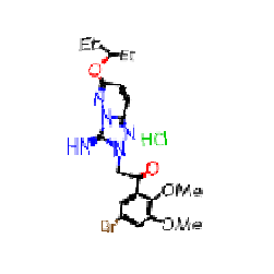 CCC(CC)Oc1ccc2nn(CC(=O)c3cc(Br)cc(OC)c3OC)c(=N)n2n1.Cl